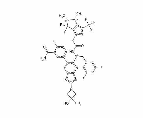 C[C@@H]1c2c(C(F)(F)F)nn(CC(=O)N[C@@H](Cc3cc(F)cc(F)c3)c3nc4nc(N5CC(C)(O)C5)sc4cc3-c3ccc(F)c(C(N)=O)c3)c2C(F)(F)[C@@H]1C